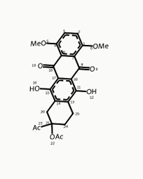 COc1ccc(OC)c2c1C(=O)c1c(O)c3c(c(O)c1C2=O)CC(OC(C)=O)(C(C)=O)CC3